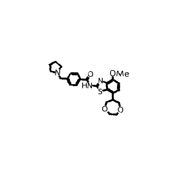 COc1ccc(C2COCCOC2)c2sc(NC(=O)c3ccc(CN4CCCC4)cc3)nc12